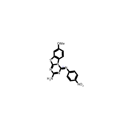 COc1ccc2c(c1)sc1nc(N)n/c(=N\c3ccc([N+](=O)[O-])cc3)n12